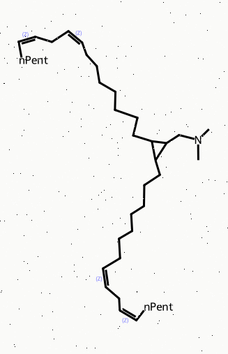 CCCCC/C=C\C/C=C\CCCCCCCC1C(CCCCCCC/C=C\C/C=C\CCCCC)C1CN(C)C